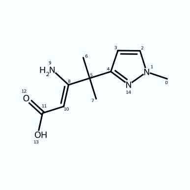 Cn1ccc(C(C)(C)C(N)=CC(=O)O)n1